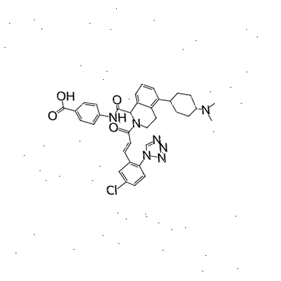 CN(C)C1CCC(c2cccc3c2CCN(C(=O)/C=C/c2cc(Cl)ccc2-n2cnnn2)C3C(=O)Nc2ccc(C(=O)O)cc2)CC1